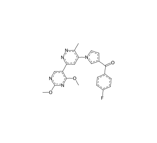 COc1ncc(-c2cc(-n3ccc(C(=O)c4ccc(F)cc4)c3)c(C)nn2)c(OC)n1